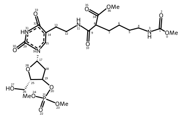 COC(=O)NCCCCC(C(=O)NCCc1cn([C@@H]2CC(OP(=O)(OC)OC)[C@H](CO)O2)c(=O)[nH]c1=O)C(=O)OC